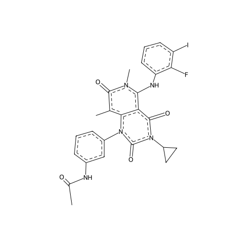 CC(=O)Nc1cccc(-n2c(=O)n(C3CC3)c(=O)c3c(Nc4cccc(I)c4F)n(C)c(=O)c(C)c32)c1